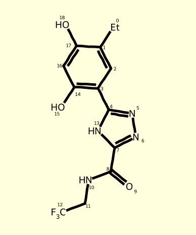 CCc1cc(-c2nnc(C(=O)NCC(F)(F)F)[nH]2)c(O)cc1O